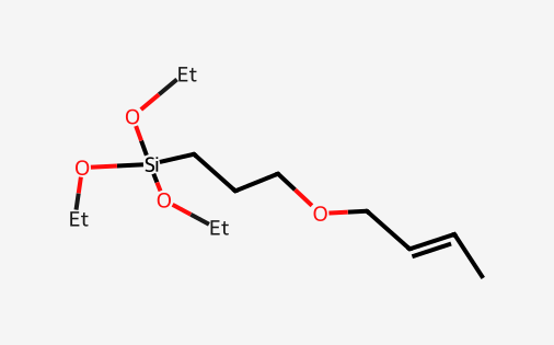 CC=CCOCCC[Si](OCC)(OCC)OCC